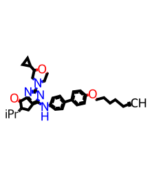 C#CCCCCCOc1ccc(-c2ccc(Nc3nc(N4CCOC(C5CC5)C4)nc4c3CC(C(C)C)C4=O)cc2)cc1